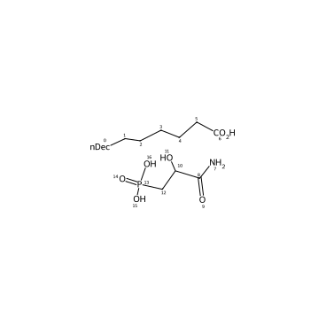 CCCCCCCCCCCCCCCC(=O)O.NC(=O)C(O)CP(=O)(O)O